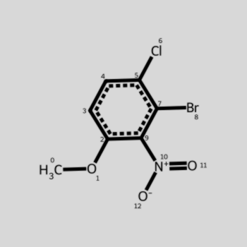 COc1ccc(Cl)c(Br)c1[N+](=O)[O-]